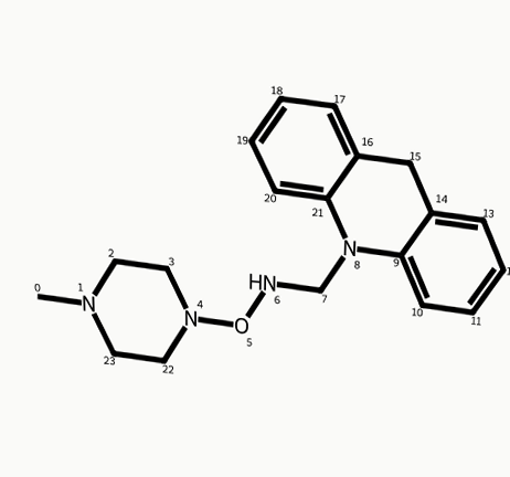 CN1CCN(ONCN2c3ccccc3Cc3ccccc32)CC1